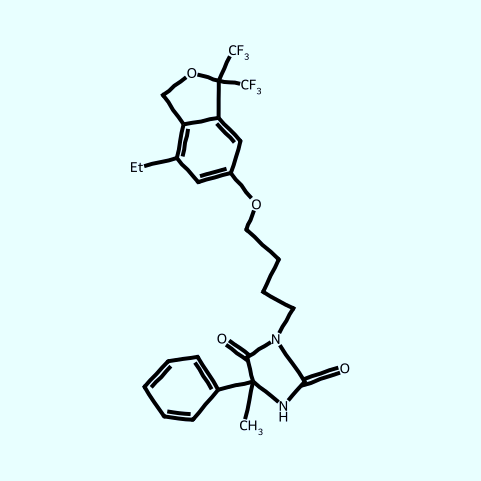 CCc1cc(OCCCCN2C(=O)NC(C)(c3ccccc3)C2=O)cc2c1COC2(C(F)(F)F)C(F)(F)F